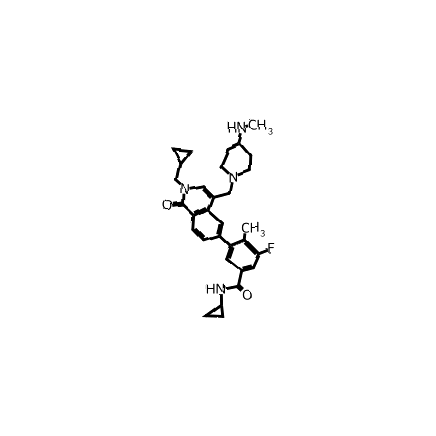 CNC1CCN(Cc2cn(CC3CC3)c(=O)c3ccc(-c4cc(C(=O)NC5CC5)cc(F)c4C)cc23)CC1